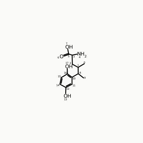 CC(CC(N)C(=O)O)C(C)c1cc(O)ccc1O